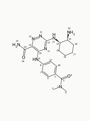 CN(C)C(=O)c1ccc(Nc2nc(N[C@@H]3CCCC[C@@H]3N)nnc2C(N)=O)cc1